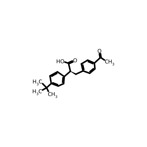 CC(=O)c1ccc(C[C@H](C(=O)O)c2ccc(C(C)(C)C)cc2)cc1